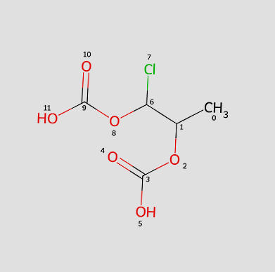 CC(OC(=O)O)C(Cl)OC(=O)O